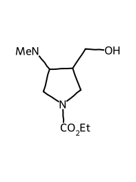 CCOC(=O)N1CC(CO)C(NC)C1